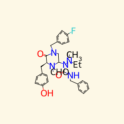 CCN(C)N(C(=O)NCc1ccccc1)C1CN(Cc2ccc(F)cc2)C(=O)[C@H](Cc2ccc(O)cc2)N1C=O